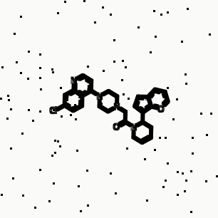 O=C(CN1CCN(c2ccnc3cc(Cl)ccc23)CC1)N1CC=CCC1c1ccc2cccoc1-2